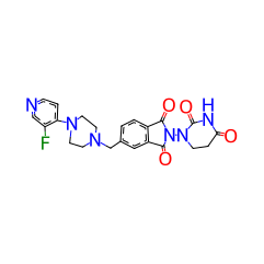 O=C1CCN(N2C(=O)c3ccc(CN4CCN(c5ccncc5F)CC4)cc3C2=O)C(=O)N1